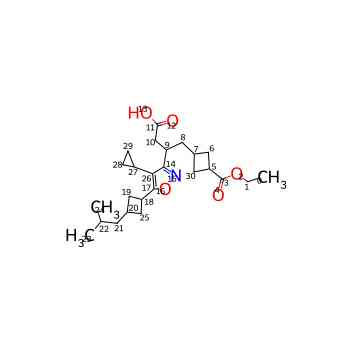 CCOC(=O)C1CC(CC(CC(=O)O)c2noc(C3CC(CC(C)C)C3)c2C2CC2)C1